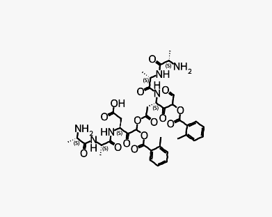 Cc1ccccc1C(=O)OC(C=O)C(=O)[C@H](CC(=O)OC(OC(=O)c1ccccc1C)C(=O)[C@H](CC(=O)O)NC(=O)[C@H](C)NC(=O)[C@H](C)N)NC(=O)[C@H](C)NC(=O)[C@H](C)N